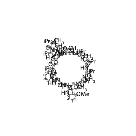 COc1cccc2[nH]cc(CC3C(=O)NC(C(C)C)C(=O)NC(C(O)c4ccccc4)C(=O)NC(C(C)C)C(=O)OC(C)C(NC(=O)C(NC(=O)C(C(C)C)N(C)C)C(C)C)C(=O)N(C)C(C(C)O)C(=O)NC(C(C)C)C(=O)N(C)C(CC(C)C)C(=O)NC(C(C)C)C(=O)N(C)C(C(C)C)C(=O)N3C)c12